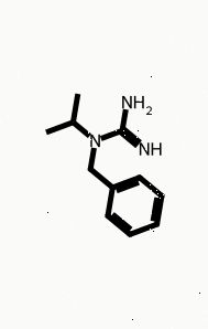 CC(C)N(Cc1ccccc1)C(=N)N